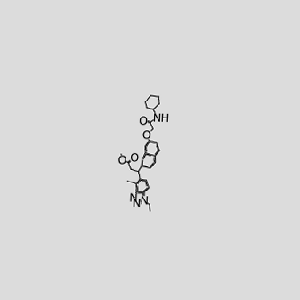 CCn1nnc2c(C)c(C(CC(=O)OC)c3ccc4ccc(OCC(=O)NC5CCCCC5)cc4c3)ccc21